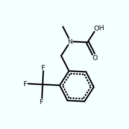 CN(Cc1ccccc1C(F)(F)F)C(=O)O